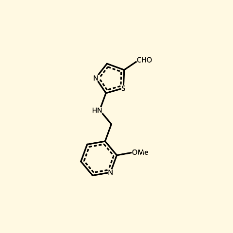 COc1ncccc1CNc1ncc(C=O)s1